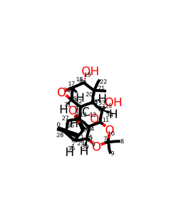 C=C1C(=O)[C@@]23[C@@H]4OC(C)(C)OC25OC[C@]2([C@@H]6O[C@@H]6[C@H](O)C(C)(C)[C@H]2[C@@H]5O)[C@@H]3CC[C@@H]14